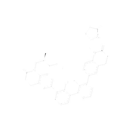 CC(=O)CC[C@H](C)CN1C(=O)CCc2cc(-c3cccc(-c4cccc(-c5ccc6c(c5)CCC(=O)N6C[C@@H]5CCC(=O)N5)c4Cl)c3Cl)ccc21